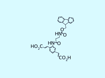 O=C(O)C=Cc1ccc(C=CC(=O)O)c(NC(=O)CCNC(=O)OCC2c3ccccc3-c3ccccc32)c1